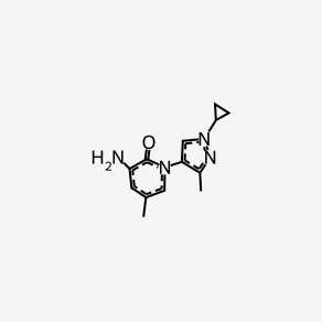 Cc1cc(N)c(=O)n(-c2cn(C3CC3)nc2C)c1